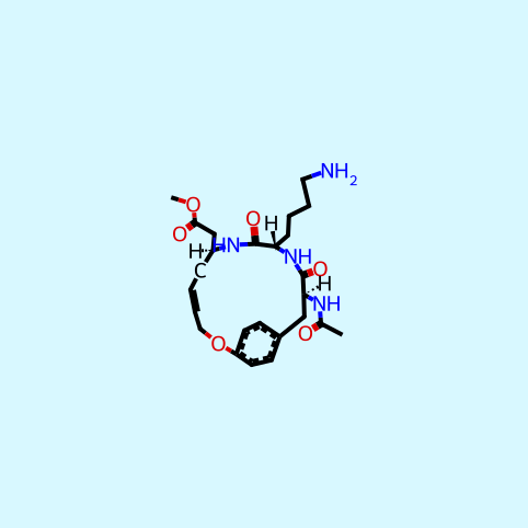 COC(=O)C[C@@H]1CC=CCOc2ccc(cc2)C[C@H](NC(C)=O)C(=O)N[C@@H](CCCCN)C(=O)N1